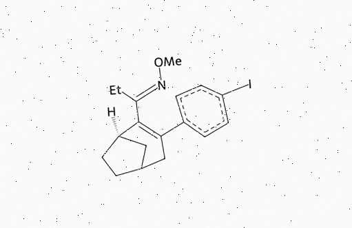 CCC(=NOC)C1=C(c2ccc(I)cc2)CC2CC[C@@H]1C2